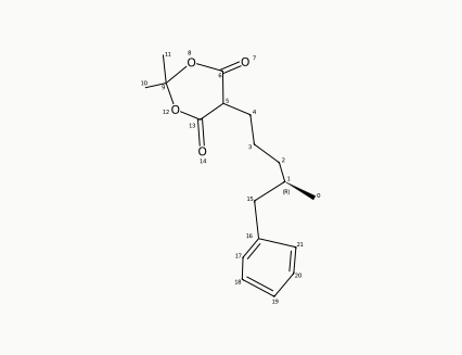 C[C@H](CCCC1C(=O)OC(C)(C)OC1=O)Cc1ccccc1